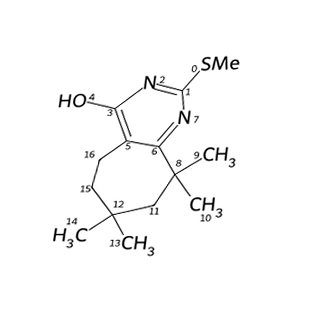 CSc1nc(O)c2c(n1)C(C)(C)CC(C)(C)CC2